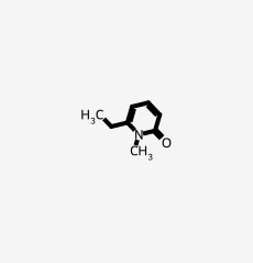 CCc1cccc(=O)n1C